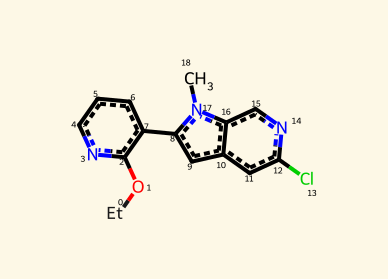 CCOc1ncccc1-c1cc2cc(Cl)ncc2n1C